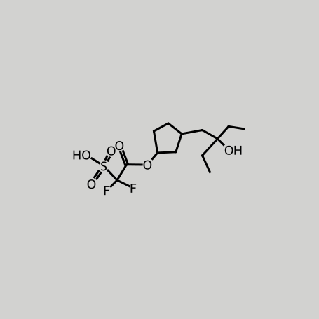 CCC(O)(CC)CC1CCC(OC(=O)C(F)(F)S(=O)(=O)O)C1